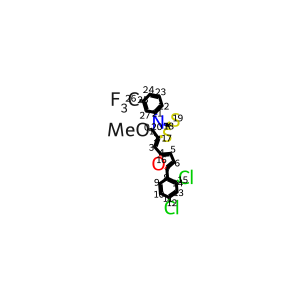 COC1/C(=C/c2ccc(-c3ccc(Cl)cc3Cl)o2)SC(=S)N1c1cccc(C(F)(F)F)c1